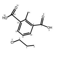 CCCCl.Cc1c(C(=O)O)cccc1C(=O)O